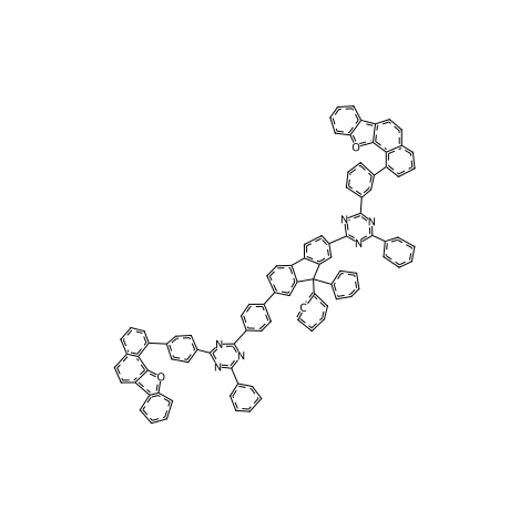 c1ccc(-c2nc(-c3ccc(-c4ccc5c(c4)C(c4ccccc4)(c4ccccc4)c4cc(-c6nc(-c7ccccc7)nc(-c7cccc(-c8cccc9ccc%10c%11ccccc%11oc%10c89)c7)n6)ccc4-5)cc3)nc(-c3ccc(-c4cccc5ccc6c7ccccc7oc6c45)cc3)n2)cc1